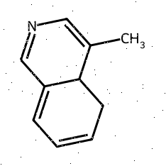 CC1=CN=CC2=CC=CCC12